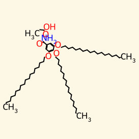 CCC(=O)O.CCCCCCCCCCCCCCCCCCOc1cc(C(N)=O)cc(OCCCCCCCCCCCCCCCCCC)c1OCCCCCCCCCCCCCCCCCC